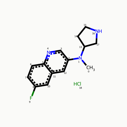 CN(c1cnc2ccc(F)cc2c1)C1CCNC1.Cl